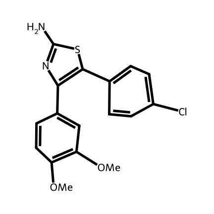 COc1ccc(-c2nc(N)sc2-c2ccc(Cl)cc2)cc1OC